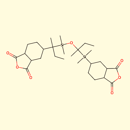 CCC(C)(C1CCC2C(=O)OC(=O)C2C1)[Si](C)(C)OC(C)(CC)[Si](C)(C)C1CCC2C(=O)OC(=O)C2C1